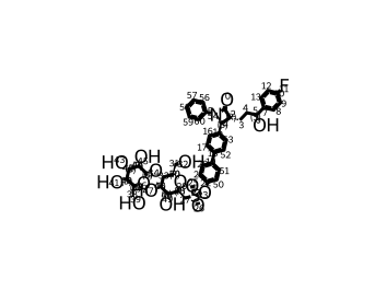 O=C1[C@H](CC[C@H](O)c2ccc(F)cc2)[C@@H](c2ccc(-c3ccc(OS(=O)(=O)C[C@@H]4O[C@H](CO)C(O[C@@H]5O[C@H](CO)[C@@H](O)[C@H](O)[C@H]5O)[C@H](O)[C@H]4O)cc3)cc2)N1c1ccccc1